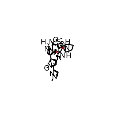 Cn1ccc(-c2ccc(-c3cnn4c(N)c(S(C)(=O)=O)c(C5C[C@H]6CC[C@@H](C5)N6C(=O)c5nnc[nH]5)nc34)c[n+]2[O-])n1